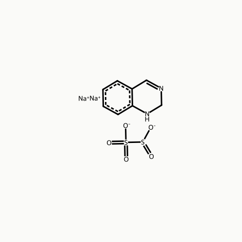 C1=NCNc2ccccc21.O=S([O-])S(=O)(=O)[O-].[Na+].[Na+]